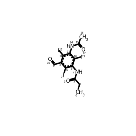 CCC(=O)Nc1c(I)c([C]=O)c(I)c(NC(C)=O)c1I